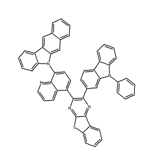 c1ccc(-n2c3ccccc3c3ccc(-c4nc5c(nc4-c4ccc(-n6c7ccccc7c7cc8ccccc8cc76)c6ncccc46)sc4ccccc45)cc32)cc1